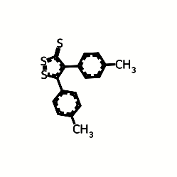 Cc1ccc(-c2ssc(=S)c2-c2ccc(C)cc2)cc1